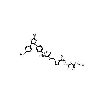 Cc1ccc(-c2cc(C(F)(F)F)nn2-c2ccc(S(=O)(=O)NC(=O)OC[C@@H]3CCN3/[N+]([O-])=N\OC(C)OC(=O)OC(C)(C)C)cc2)cc1